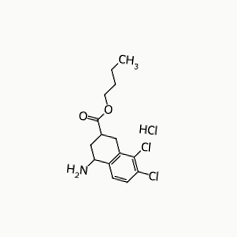 CCCCOC(=O)C1Cc2c(ccc(Cl)c2Cl)C(N)C1.Cl